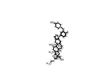 CCC[C@H]1O[C@@H]2C[C@H]3[C@@H]4CCC5=Cc6c(cnn6-c6ccc(F)c(CN7CCC(O)CC7)c6)C[C@]5(C)[C@H]4[C@@H](O)C[C@]3(C)[C@]2(C(=O)CO)O1